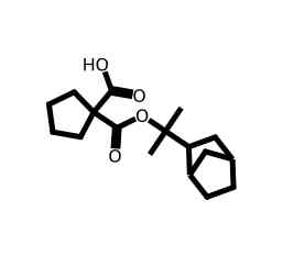 CC(C)(OC(=O)C1(C(=O)O)CCCC1)C1CC2CCC1C2